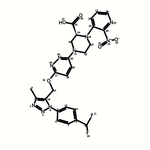 Cc1nnn(-c2ccc(C(F)F)cc2)c1COc1ccc(N2CCN(c3cccnc3[N+](=O)[O-])[C@H](C(=O)O)C2)nn1